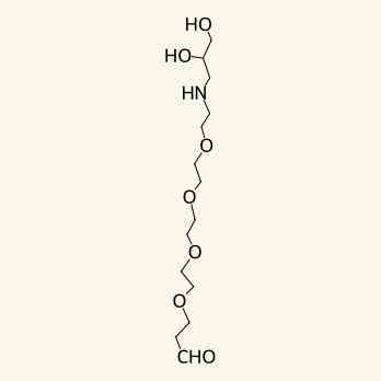 O=CCCOCCOCCOCCOCCNCC(O)CO